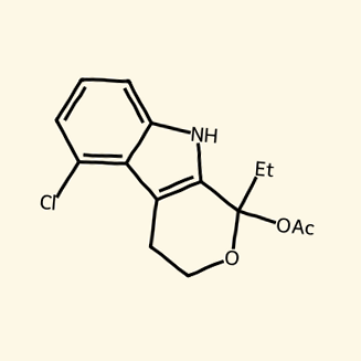 CCC1(OC(C)=O)OCCc2c1[nH]c1cccc(Cl)c21